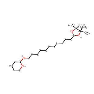 CC1(C)OB(CCCCCCCCCCCOC2CCCCO2)OC1(C)C